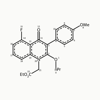 CCCOc1c(-c2ccc(OC)cc2)c(=O)c2c(F)cccc2n1CC(=O)OCC